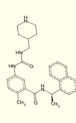 Cc1ccc(NC(=O)NCC2CCNCC2)cc1C(=O)N[C@H](C)c1cccc2ccccc12